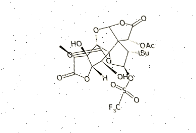 CC(=O)O[C@H]1C(=O)OC2O[C@@]34C(=O)OC5[C@H](OS(=O)(=O)C(F)(F)F)[C@@H](C(C)(C)C)C21C53[C@@H](O)[C@@H]1OC(=O)[C@@H](C)[C@@]14O